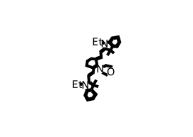 CCN1/C(=C/C=C2\CCCC(/C=C/C3=[N+](CC)c4ccccc4C3(C)C)=C2N2CCOCC2)C(C)(C)c2ccccc21